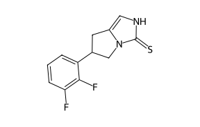 Fc1cccc(C2Cc3c[nH]c(=S)n3C2)c1F